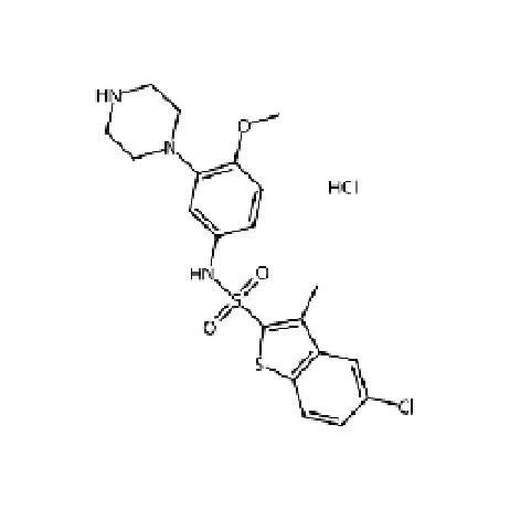 COc1ccc(NS(=O)(=O)c2sc3ccc(Cl)cc3c2C)cc1N1CCNCC1.Cl